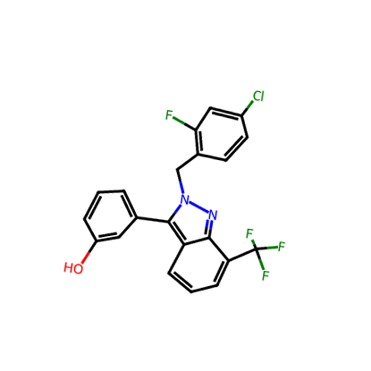 Oc1cccc(-c2c3cccc(C(F)(F)F)c3nn2Cc2ccc(Cl)cc2F)c1